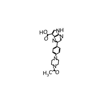 CC(=O)N1CCN(c2ccc(-c3cnc4[nH]cc(C(=O)O)c4n3)cc2)CC1